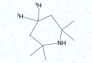 [3H]C1([3H])CC(C)(C)NC(C)(C)C1